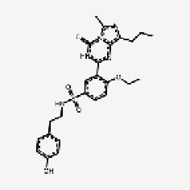 CCCc1nc(C)n2c(=O)[nH]c(-c3cc(S(=O)(=O)NCCc4ccc(O)cc4)ccc3OCC)nc12